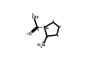 NC1CCC[C@H]1C(=O)O